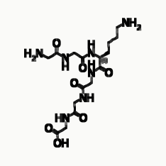 NCCCC[C@H](NC(=O)CNC(=O)CN)C(=O)NCC(=O)NCC(=O)NCC(=O)O